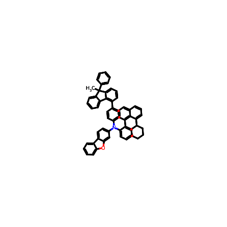 CC1(c2ccccc2)c2ccccc2-c2c(-c3ccc(N(c4ccc5c(c4)oc4ccccc45)c4ccccc4-c4cccc5cccc(C6CCCCC6)c45)cc3)cccc21